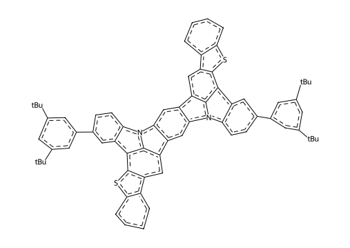 CC(C)(C)c1cc(-c2ccc3c(c2)c2c4sc5ccccc5c4cc4c5cc6c(cc5n3c42)c2cc3c4ccccc4sc3c3c4cc(-c5cc(C(C)(C)C)cc(C(C)(C)C)c5)ccc4n6c23)cc(C(C)(C)C)c1